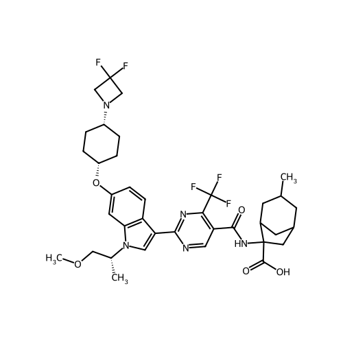 COC[C@@H](C)n1cc(-c2ncc(C(=O)NC3(C(=O)O)CC4CC(C)CC3C4)c(C(F)(F)F)n2)c2ccc(O[C@H]3CC[C@@H](N4CC(F)(F)C4)CC3)cc21